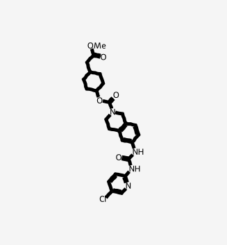 COC(=O)CC1CCC(OC(=O)N2CCc3cc(NC(=O)Nc4ccc(Cl)cn4)ccc3C2)CC1